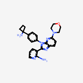 Nc1ncccc1-c1nc2ccc(N3CCOCC3)nc2n1-c1ccc(C2(N)CCC2)cc1